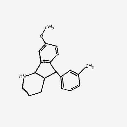 COc1ccc2c(c1)C1NCCCC1C2c1cccc(C)c1